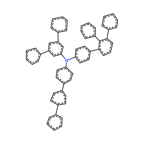 c1ccc(-c2ccc(-c3ccc(N(c4ccc(-c5cccc(-c6ccccc6)c5-c5ccccc5)cc4)c4cc(-c5ccccc5)cc(-c5ccccc5)c4)cc3)cc2)cc1